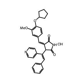 COc1cc(C=C2C(=O)NC(=O)C2C(=Cc2ccccc2)c2ccncc2)ccc1OC1CCCC1.Cl